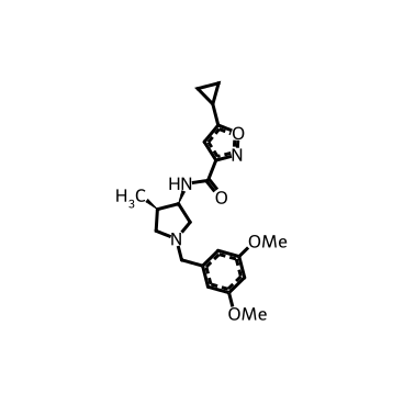 COc1cc(CN2C[C@@H](C)[C@@H](NC(=O)c3cc(C4CC4)on3)C2)cc(OC)c1